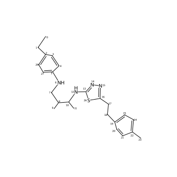 CCc1ccc(NCC(C)C(C)Nc2nnc(CCc3ccc(C)cc3)s2)cc1